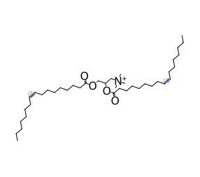 CCCCCCC/C=C\CCCCCCCC(=O)OCC(C[N+](C)(C)C)OC(=O)CCCCCCC/C=C\CCCCCCC